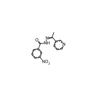 CC(=NNC(=O)c1cccc([N+](=O)[O-])c1)c1cccnc1